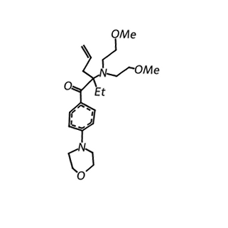 C=CCC(CC)(C(=O)c1ccc(N2CCOCC2)cc1)N(CCOC)CCOC